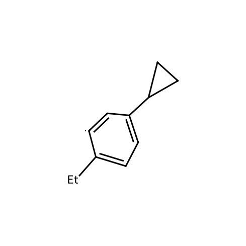 CCc1[c]cc(C2CC2)cc1